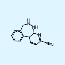 N#CC1=NC2NNCc3ccccc3C2C=C1